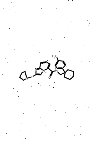 O=C(NCC1(c2ccc(C(F)(F)F)cc2)CCCCC1)c1cccc2nc(CN3CCCC3)cn12